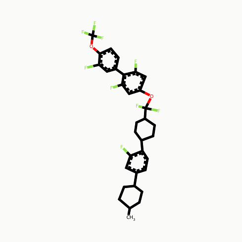 CC1CCC(c2ccc(C3CCC(C(F)(F)Oc4cc(F)c(-c5ccc(OC(F)(F)F)c(F)c5)c(F)c4)CC3)c(F)c2)CC1